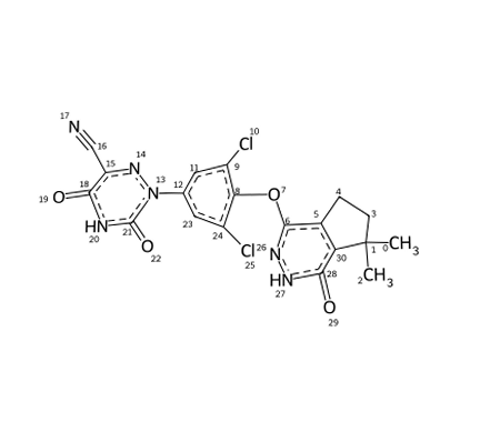 CC1(C)CCc2c(Oc3c(Cl)cc(-n4nc(C#N)c(=O)[nH]c4=O)cc3Cl)n[nH]c(=O)c21